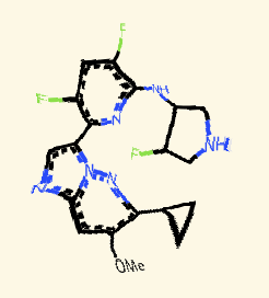 COc1cc2ncc(-c3nc(NC4CNCC4F)c(F)cc3F)n2nc1C1CC1